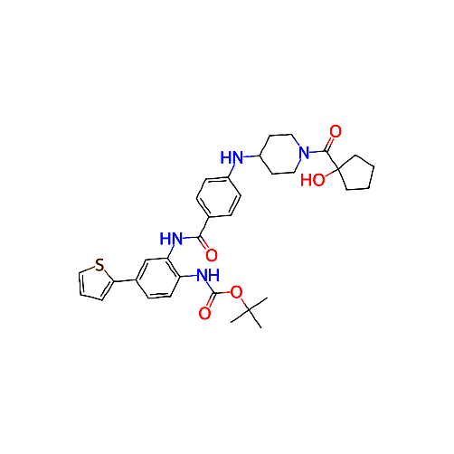 CC(C)(C)OC(=O)Nc1ccc(-c2cccs2)cc1NC(=O)c1ccc(NC2CCN(C(=O)C3(O)CCCC3)CC2)cc1